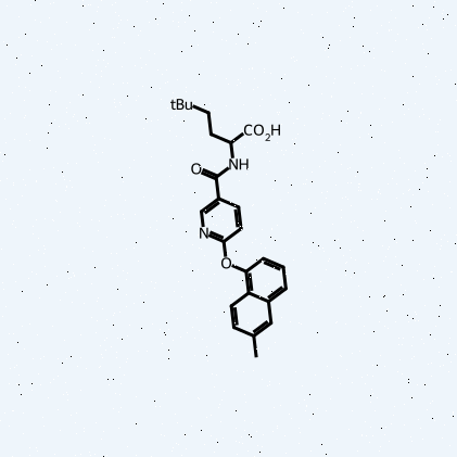 Cc1ccc2c(Oc3ccc(C(=O)NC(CCC(C)(C)C)C(=O)O)cn3)cccc2c1